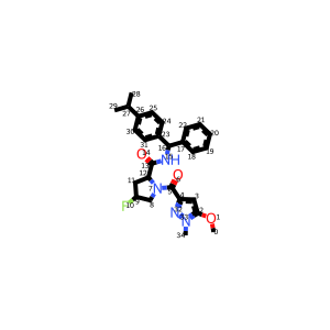 COc1cc(C(=O)N2CC(F)CC2C(=O)NC(c2ccccc2)c2ccc(C(C)C)cc2)nn1C